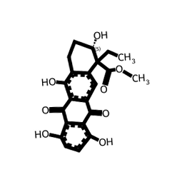 CCC1(C(=O)OC)c2cc3c(c(O)c2CC[C@@H]1O)C(=O)c1c(O)ccc(O)c1C3=O